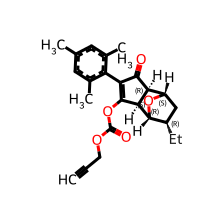 C#CCOC(=O)OC1=C(c2c(C)cc(C)cc2C)C(=O)[C@@H]2[C@H]1[C@@H]1O[C@H]2C[C@H]1CC